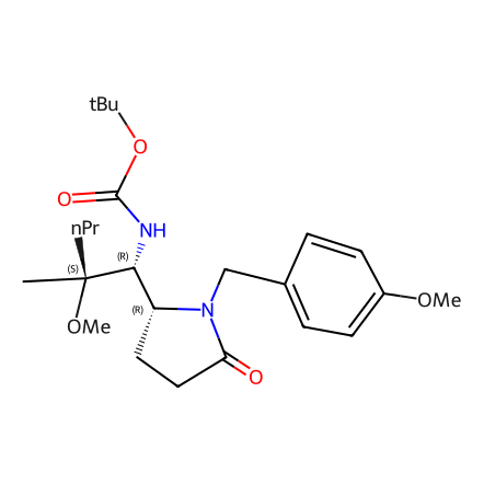 CCC[C@](C)(OC)[C@H](NC(=O)OC(C)(C)C)[C@H]1CCC(=O)N1Cc1ccc(OC)cc1